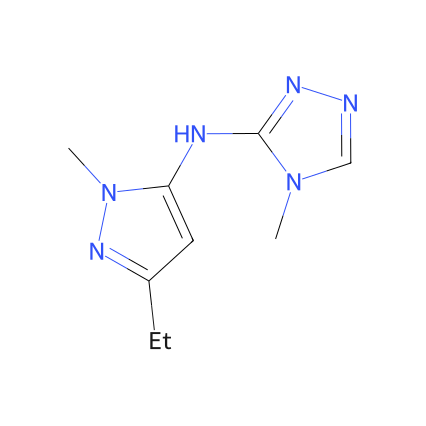 CCc1cc(Nc2nncn2C)n(C)n1